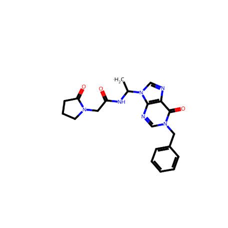 [CH2]C(NC(=O)CN1CCCC1=O)n1cnc2c(=O)n(Cc3ccccc3)cnc21